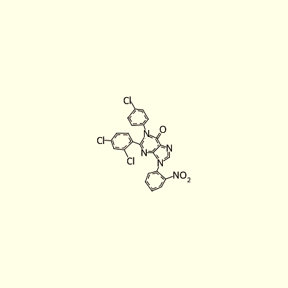 O=c1c2ncn(-c3ccccc3[N+](=O)[O-])c2nc(-c2ccc(Cl)cc2Cl)n1-c1ccc(Cl)cc1